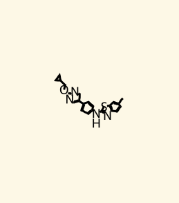 Cc1ccc2nc(Nc3ccc(-c4cnc(OCC5CC5)nc4)cc3)sc2c1